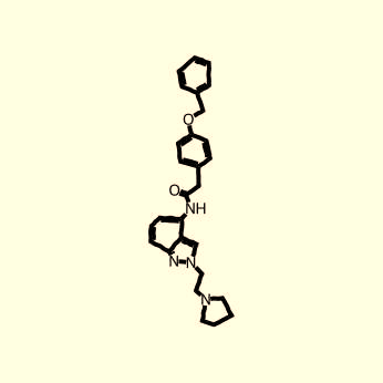 O=C(Cc1ccc(OCc2ccccc2)cc1)Nc1cccc2nn(CCN3CCCC3)cc12